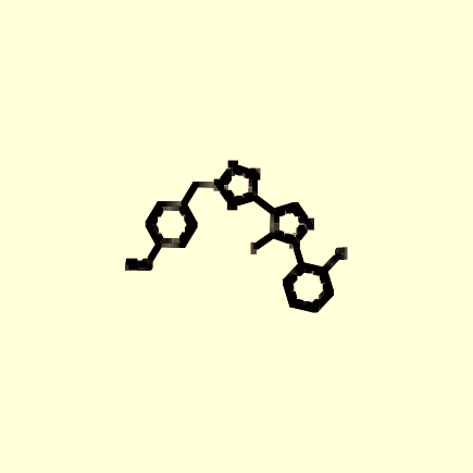 COc1ccc(Cn2nnc(-c3cnn(-c4ccccc4Cl)c3I)n2)cc1